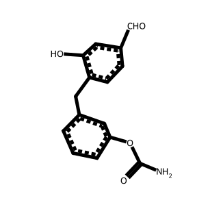 NC(=O)Oc1cccc(Cc2ccc(C=O)cc2O)c1